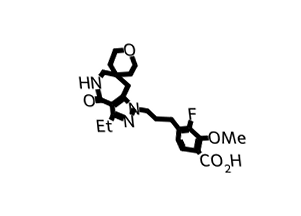 CCc1nn(CCCc2ccc(C(=O)O)c(OC)c2F)c2c1C(=O)NCC1(CCOCC1)C2